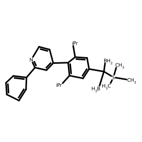 BC(B)(c1cc(C(C)C)c(-c2ccnc(-c3ccccc3)c2)c(C(C)C)c1)S(C)(C)C